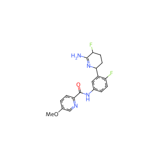 COc1ccc(C(=O)Nc2ccc(F)c(C3CCC(F)C(N)=N3)c2)nc1